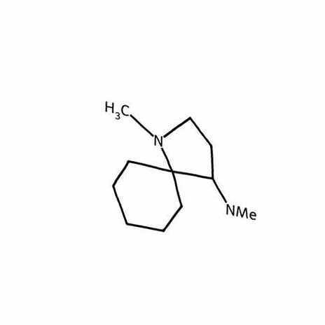 CNC1CCN(C)C12CCCCC2